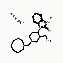 O=c1[nH]c2ccccc2n1C1CCN(CC2CCCCCCC2)CC1CO.[Al+3].[H-].[H-].[H-].[H-].[Li+]